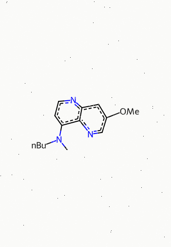 CCCCN(C)c1ccnc2cc(OC)cnc12